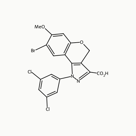 COc1cc2c(cc1Br)-c1c(c(C(=O)O)nn1-c1cc(Cl)cc(Cl)c1)CO2